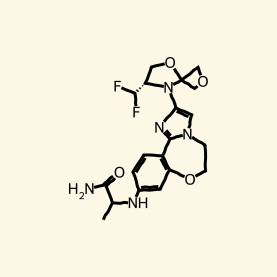 CC(Nc1ccc2c(c1)OCCn1cc(N3[C@H](C(F)F)COC34COC4)nc1-2)C(N)=O